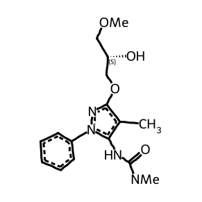 CNC(=O)Nc1c(C)c(OC[C@@H](O)COC)nn1-c1ccccc1